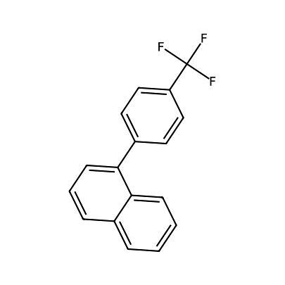 FC(F)(F)c1ccc(-c2cccc3ccccc23)cc1